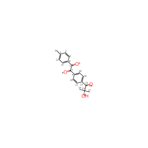 Cc1ccc(C(=O)C(=O)c2ccc(C(=O)C(C)(C)O)cc2)cc1